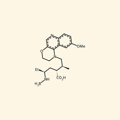 BN[C@@H](CC)C[C@@H](C(=O)O)[C@H](C)CN1CCOc2cnc3ccc(OC)cc3c21